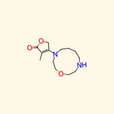 CC1=C(N2CCCCNCCOCC2)COC1=O